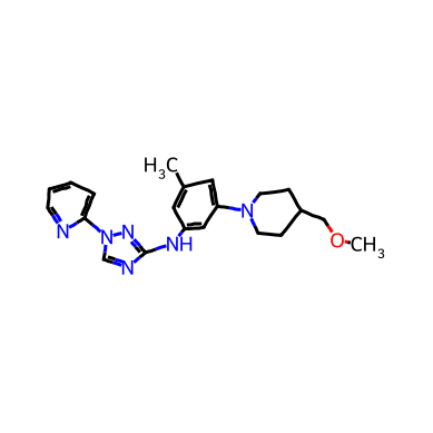 COCC1CCN(c2cc(C)cc(Nc3ncn(-c4ccccn4)n3)c2)CC1